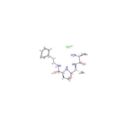 CCCC[C@H](N)C(=O)N[C@H](C(=O)N[C@@H](CC(C)C)C(=O)NCCc1ccccc1)[C@@H](C)CC.Cl